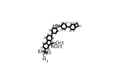 CCCCCCCCC1(CCCCCCCC)c2cc(-c3ccc(Nc4ccc(-c5ccc6c(c5)CC6)cc4)cc3)ccc2-c2ccc(C(C)(CC)CC)cc21